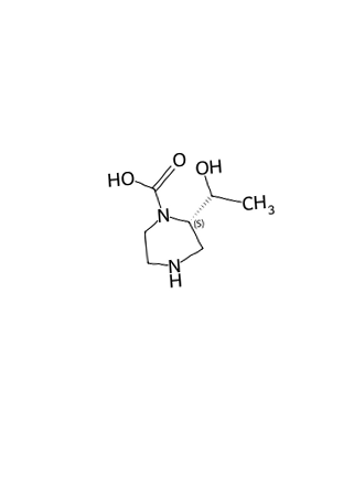 CC(O)[C@@H]1CNCCN1C(=O)O